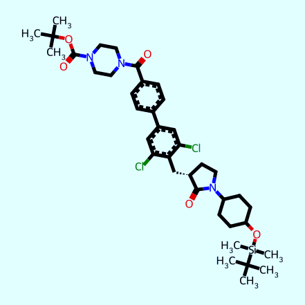 CC(C)(C)OC(=O)N1CCN(C(=O)c2ccc(-c3cc(Cl)c(C[C@@H]4CCN(C5CCC(O[Si](C)(C)C(C)(C)C)CC5)C4=O)c(Cl)c3)cc2)CC1